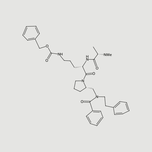 CN[C@@H](C)C(=O)N[C@@H](CCCNC(=O)OCc1ccccc1)C(=O)N1CCC[C@H]1CN(CCc1ccccc1)C(=O)c1ccccc1